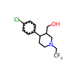 OCC1CN(CC(F)(F)F)CCC1c1ccc(Cl)cc1